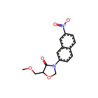 COCC1OCN(c2ccc3ccc([N+](=O)[O-])cc3c2)C1=O